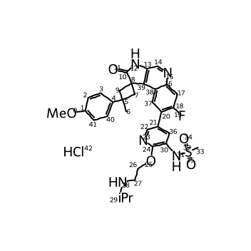 COc1ccc(C2(C)CC3(C2)C(=O)Nc2cnc4cc(F)c(-c5cnc(OCCNC(C)C)c(NS(C)(=O)=O)c5)cc4c23)cc1.Cl